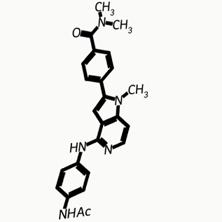 CC(=O)Nc1ccc(Nc2nccc3c2cc(-c2ccc(C(=O)N(C)C)cc2)n3C)cc1